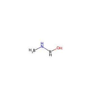 BNBO